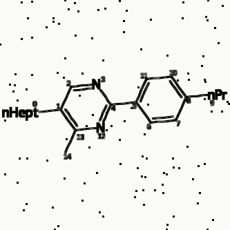 CCCCCCCc1cnc(-c2ccc(CCC)cc2)nc1C